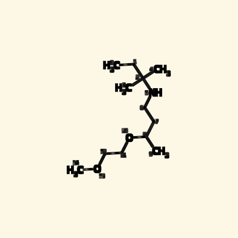 CCC(C)(C)NCCC(C)OCCOC